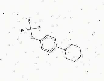 FC(F)(F)Oc1ccc(N2CCOCC2)cc1